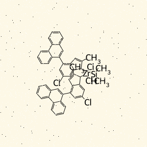 CC1=Cc2c(-c3cc4ccccc4c4ccccc34)cc(Cl)cc2[CH]1[Zr]([Cl])([Cl])([CH]1C(C)=Cc2c(-c3cc4ccccc4c4ccccc34)cc(Cl)cc21)[SiH](C)C